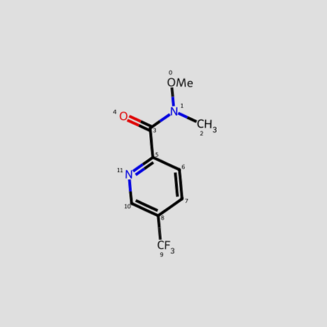 CON(C)C(=O)c1ccc(C(F)(F)F)cn1